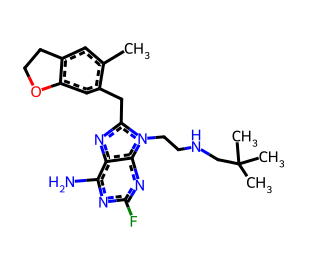 Cc1cc2c(cc1Cc1nc3c(N)nc(F)nc3n1CCNCC(C)(C)C)OCC2